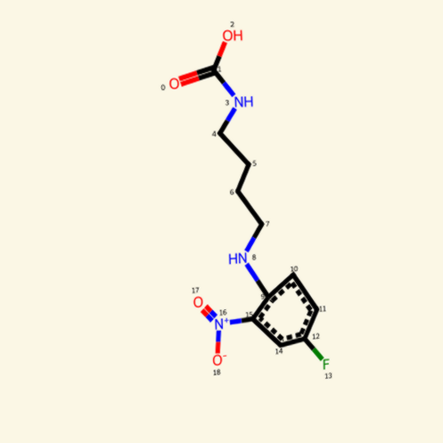 O=C(O)NCCCCNc1ccc(F)cc1[N+](=O)[O-]